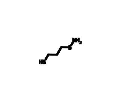 NSCCCS